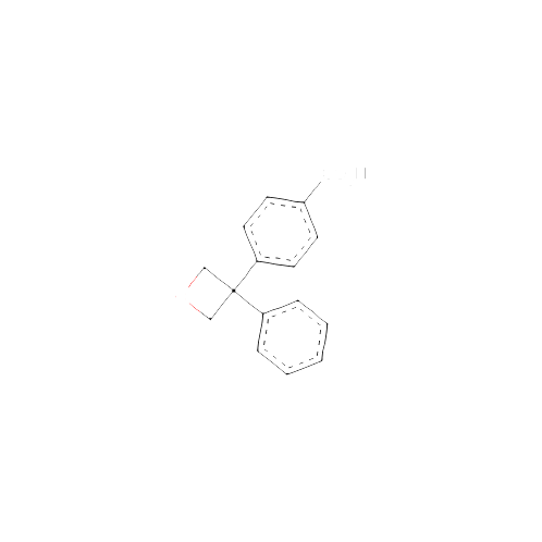 O=C(O)c1ccc(C2(c3ccccc3)COC2)cc1